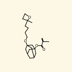 C=C(C)C(=O)OC12CC3CC(CC(OCCCCC4(C)CCO4)(C3)C1)C2